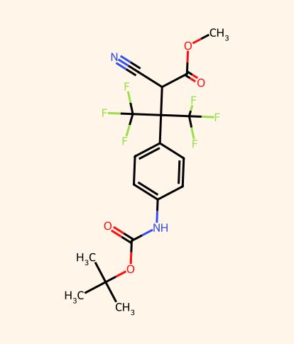 COC(=O)C(C#N)C(c1ccc(NC(=O)OC(C)(C)C)cc1)(C(F)(F)F)C(F)(F)F